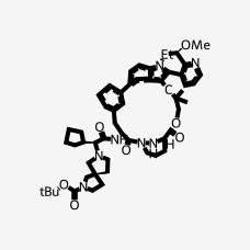 CCn1c(-c2cccnc2[C@H](C)OC)c2c3cc(ccc31)-c1cccc(c1)C[C@H](NC(=O)[C@H](C1CCCC1)N1CC[C@]3(CCN(C(=O)OC(C)(C)C)C3)C1)C(=O)N1CCC[C@H](N1)C(=O)OCC(C)(C)C2